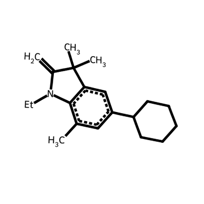 C=C1N(CC)c2c(C)cc(C3CCCCC3)cc2C1(C)C